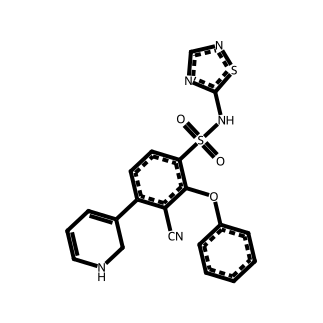 N#Cc1c(C2=CC=CNC2)ccc(S(=O)(=O)Nc2ncns2)c1Oc1ccccc1